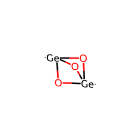 [O]1[Ge]2[O][Ge]1[O]2